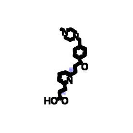 CN1CCN(Cc2ccc(C(=O)/C=C/c3cccc(/C=C/C(=O)O)n3)cc2)CC1